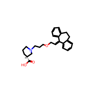 O=C(O)[C@@H]1CCCN(CCCOCC=C2c3ccccc3CCc3ccccc32)C1